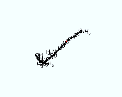 CC(C)[C@H](NC(=O)CCOCCOCCNC(=O)[C@@H](N)CCCCCOCCOCCOCCOCCOCCOCCOCCOCCC(N)=O)C(=O)N[C@@H](C)C(=O)Nc1ccc(CO)cc1